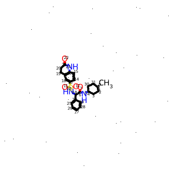 CC1CCC(NC(=O)C(NS(=O)(=O)c2ccc3c(c2)CCC(=O)N3)c2ccccc2)CC1